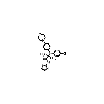 CC(C)(C(=O)Nc1nccs1)C(c1ccc(Cl)cc1)c1ccc(N2CCOCC2)cc1